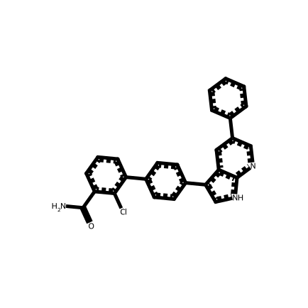 NC(=O)c1cccc(-c2ccc(-c3c[nH]c4ncc(-c5ccccc5)cc34)cc2)c1Cl